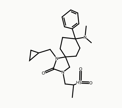 CC(CN1CC2(CCC(c3ccccc3)(N(C)C)CC2)N(CC2CC2)C1=O)[SH](=O)=O